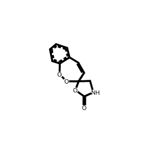 O=C1NCC2(C=Cc3ccccc3OO2)O1